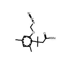 CNC(=O)CC(C)(C)c1c(C)cc(C)cc1OCN=[N+]=[N-]